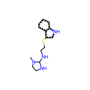 CN1CCNC1NCCSc1c[nH]c2ccccc12